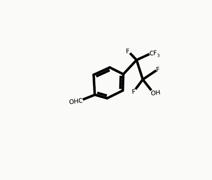 O=Cc1ccc(C(F)(C(O)(F)F)C(F)(F)F)cc1